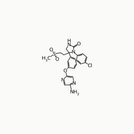 CS(=O)(=O)CCC1(c2cccc(Oc3cnc(N)cn3)c2)CNC(=O)N1c1ccc(Cl)cc1